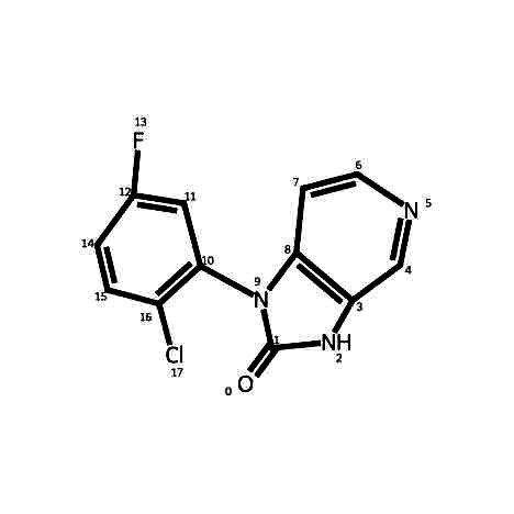 O=c1[nH]c2cnccc2n1-c1cc(F)ccc1Cl